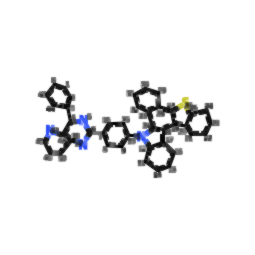 c1ccc(-c2nc(-c3ccc(-n4c5ccccc5c5c6c7ccccc7sc6c6ccccc6c54)cc3)nc3cccnc23)cc1